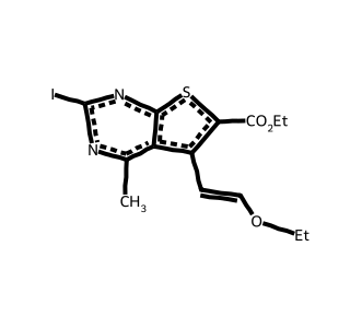 CCO/C=C/c1c(C(=O)OCC)sc2nc(I)nc(C)c12